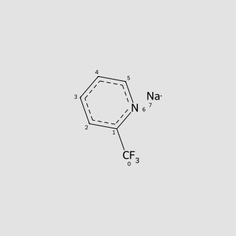 FC(F)(F)c1ccccn1.[Na]